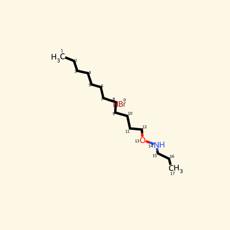 Br.CCCCCCCCCCCCONCCC